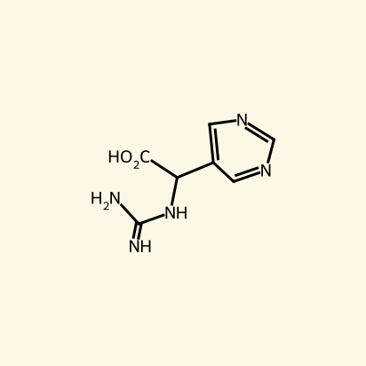 N=C(N)NC(C(=O)O)c1cncnc1